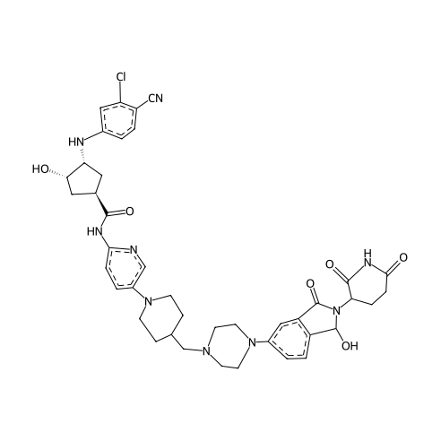 N#Cc1ccc(N[C@@H]2C[C@@H](C(=O)Nc3ccc(N4CCC(CN5CCN(c6ccc7c(c6)C(=O)N(C6CCC(=O)NC6=O)C7O)CC5)CC4)cn3)C[C@@H]2O)cc1Cl